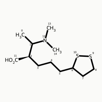 CC([C@@H](CCCC1CCSS1)C(=O)O)N(C)C